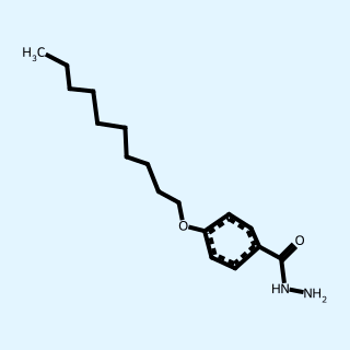 CCCCCCCCCCOc1ccc(C(=O)NN)cc1